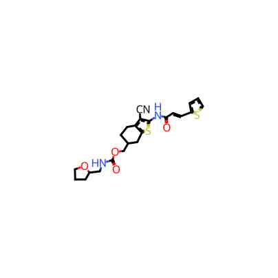 N#Cc1c(NC(=O)C=Cc2cccs2)sc2c1CCC(COC(=O)NCC1CCCO1)C2